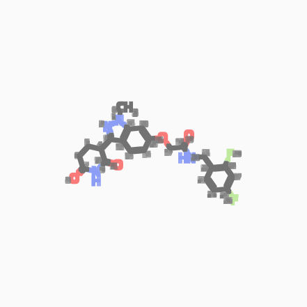 Cn1nc(C2CCC(=O)NC2=O)c2ccc(OCC(=O)NCc3ccc(F)cc3F)cc21